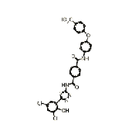 O=C(O)c1ccc(Oc2ccc(NC(=O)c3ccc(C(=O)Nc4nnc(-c5cc(Cl)cc(Cl)c5O)s4)cc3)cc2)cc1